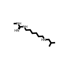 CNC(=N)NCCCCCCNCC(C)C